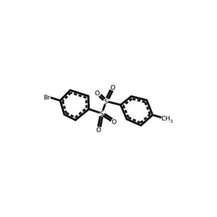 Cc1ccc(S(=O)(=O)S(=O)(=O)c2ccc(Br)cc2)cc1